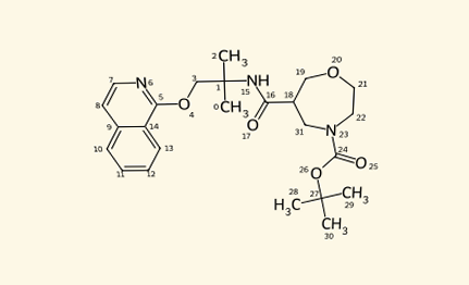 CC(C)(COc1nccc2ccccc12)NC(=O)C1COCCN(C(=O)OC(C)(C)C)C1